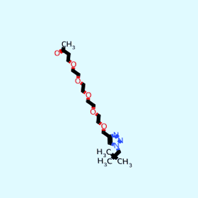 CC(=O)CCOCCOCCOCCOCCOCc1cn(CC(C)(C)C)nn1